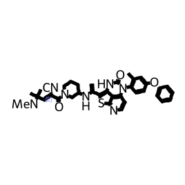 C=C(NC1CCCN(C(=O)/C(C#N)=C/C(C)(C)NC)C1)c1sc2nccc3c2c1NC(=O)N3c1ccc(Oc2ccccc2)cc1C